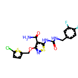 NC(=O)c1c(OCc2ccc(Cl)s2)nsc1NC(=O)NCc1ccc(F)c(F)c1